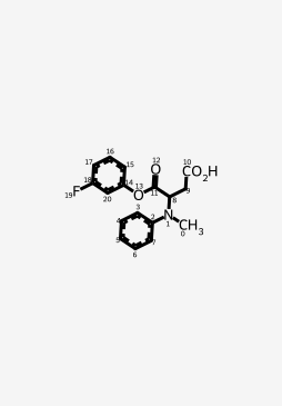 CN(c1ccccc1)C(CC(=O)O)C(=O)Oc1cccc(F)c1